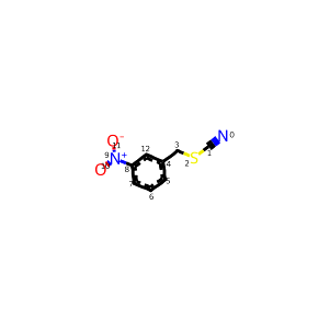 N#CSCc1cccc([N+](=O)[O-])c1